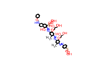 Cc1cc(N=Nc2cc(OCC(O)CO)c(N=Nc3c(SOOO)cc4cc(NCOc5ccccc5)ccc4c3O)cc2C)c(OCC(O)CO)cc1N=Nc1ccc(SOOO)cc1